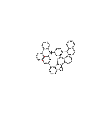 c1ccc(-c2ccccc2N(c2ccc(-c3cccc4ccccc34)cc2)c2cccc(-c3cccc4oc5c6ccccc6ccc5c34)c2)cc1